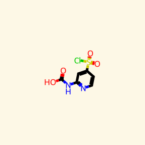 O=C(O)Nc1cc(S(=O)(=O)Cl)ccn1